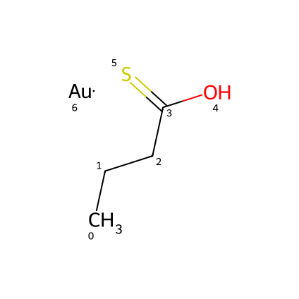 CCCC(O)=S.[Au]